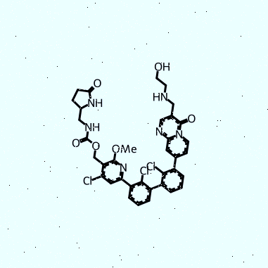 COc1nc(-c2cccc(-c3cccc(-c4ccn5c(=O)c(CNCCO)cnc5c4)c3Cl)c2Cl)cc(Cl)c1COC(=O)NCC1CCC(=O)N1